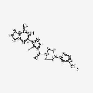 Cc1c(C(=O)N2CCN(c3nnc(C(F)(F)F)s3)CC2)cnn1-c1nn2cccc2c(=O)[nH]1